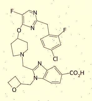 O=C(O)c1ccc2c(c1)nc(CN1CCC(Oc3nc(Cc4ccc(Cl)cc4F)ncc3F)CC1)n2CC1CCO1